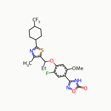 CCC(Oc1cc(OC)c(-c2noc(=O)[nH]2)cc1F)c1sc(C2CCC(C(F)(F)F)CC2)nc1C